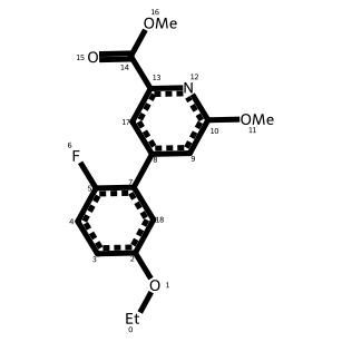 CCOc1ccc(F)c(-c2cc(OC)nc(C(=O)OC)c2)c1